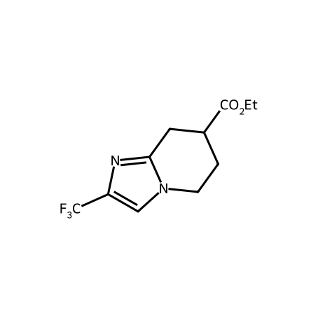 CCOC(=O)C1CCn2cc(C(F)(F)F)nc2C1